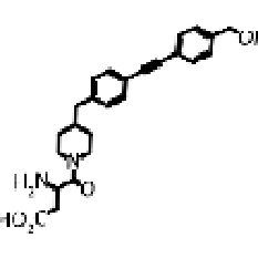 NC(CC(=O)O)C(=O)N1CCC(Cc2ccc(C#Cc3ccc(CO)cc3)cc2)CC1